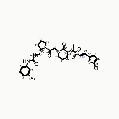 CC(=O)c1cccc(NC(=O)NC[C@H]2CCCN2C(=O)CN2CCC[C@H](NS(=O)(=O)/C=C/c3ccc(Cl)s3)C2=O)c1